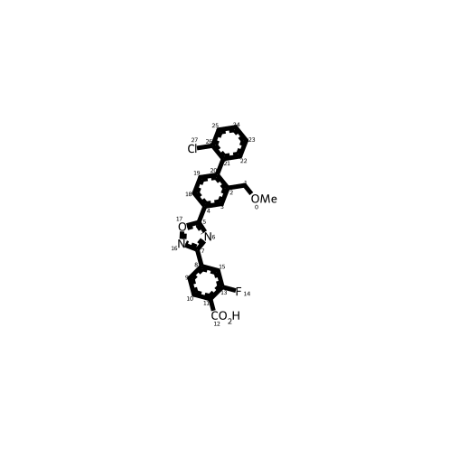 COCc1cc(-c2nc(-c3ccc(C(=O)O)c(F)c3)no2)ccc1-c1ccccc1Cl